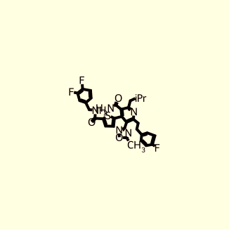 Cc1nc(-c2c(CCc3ccc(F)cc3)nc(CC(C)C)c(C(N)=O)c2-c2ccc(C(=O)NCc3ccc(F)c(F)c3)s2)no1